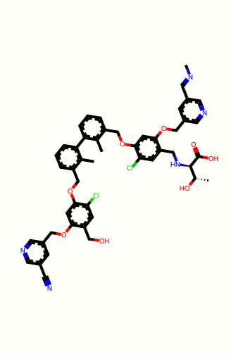 C/N=C/c1cncc(COc2cc(OCc3cccc(-c4cccc(COc5cc(OCc6cncc(C#N)c6)c(CO)cc5Cl)c4C)c3C)c(Cl)cc2CN[C@@H](C(=O)O)[C@H](C)O)c1